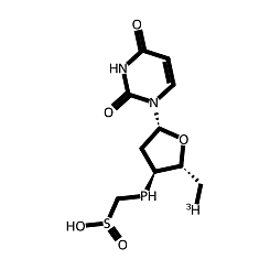 [3H]C[C@H]1O[C@@H](n2ccc(=O)[nH]c2=O)C[C@@H]1PCS(=O)O